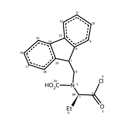 CC[C@H](C(=O)Cl)N(CC1c2ccccc2-c2ccccc21)C(=O)O